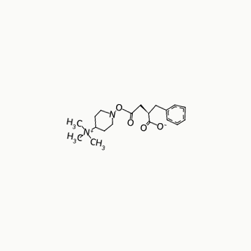 C[N+](C)(C)C1CCN(OC(=O)C[C@@H](Cc2ccccc2)C(=O)[O-])CC1